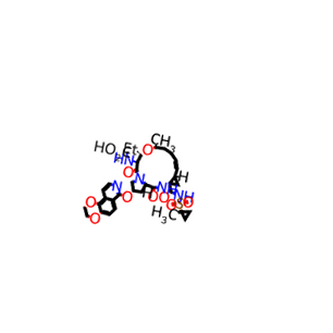 CC[C@@H]1O[C@H](C)CC/C=C\[C@@H]2CC2(C(=O)NS(=O)(=O)C2(C)CC2)NC(=O)[C@@H]2C[C@@H](Oc3nccc4c5c(ccc34)OCCO5)CN2C(=O)[C@H]1NC(=O)O